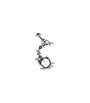 CO[C@H]1/C=C/O[C@@]2(C)Oc3c(C)c(O)c4c(=O)c(c5oc6cc(N7CCN(C(=O)OCc8ccc(NC(=O)[C@H](CCCNC(N)=O)NC(=O)[C@@H](NC(=O)CCCCCN9C(=O)C=CC9=O)C(C)C)cc8)CC7)cc(O)c6nc-5c4c3C2=O)NC(=O)/C(C)=C\C=C\[C@H](C)[C@H](O)[C@@H](C)[C@@H](O)[C@@H](C)[C@H](O)[C@@H]1C